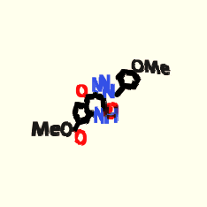 COC(=O)c1ccc2c(=O)c3nnn(Cc4ccc(OC)cc4)c3c(=O)[nH]c2c1